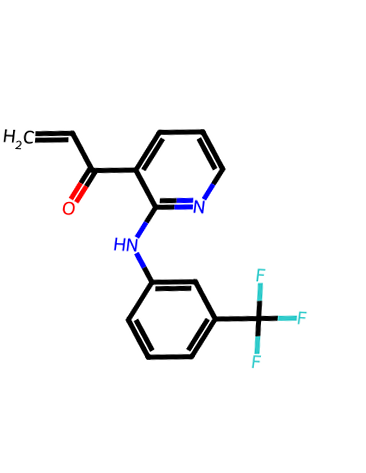 C=CC(=O)c1cccnc1Nc1cccc(C(F)(F)F)c1